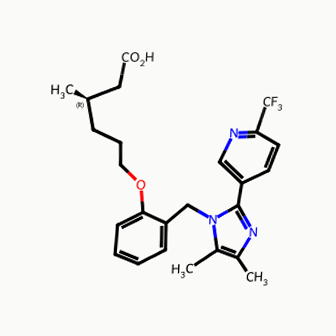 Cc1nc(-c2ccc(C(F)(F)F)nc2)n(Cc2ccccc2OCCC[C@@H](C)CC(=O)O)c1C